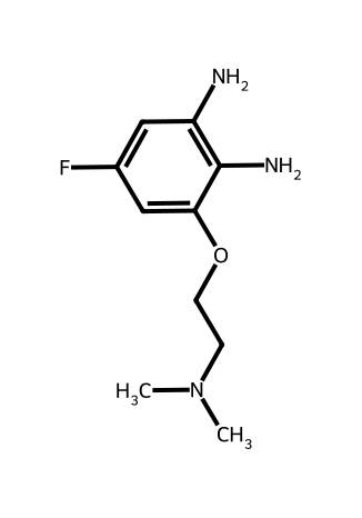 CN(C)CCOc1cc(F)cc(N)c1N